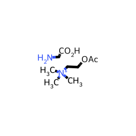 CC(=O)OCC[N+](C)(C)C.NCC(=O)O